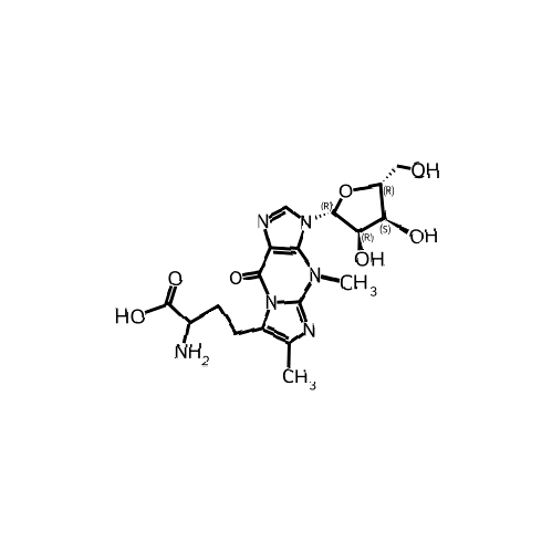 Cc1nc2n(C)c3c(ncn3[C@@H]3O[C@H](CO)[C@@H](O)[C@H]3O)c(=O)n2c1CCC(N)C(=O)O